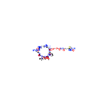 CC(C)C1NC(=O)C(CC(=O)O)NC(=O)C(Cc2ccccc2)NC(=O)C(NC(=O)COCCOCCOCCNC(=O)CCCC[C@H]2SCC3NC(=O)NC32)Cc2cn(nn2)CCCCC(C(N)=O)NC(=O)C(Cc2c[nH]cn2)NC(=O)CNC1=O